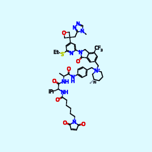 CCSc1cc(C2(Cc3nncn3C)COC2)cc(N2Cc3c(cc(C[N+]4(Cc5ccc(NC(=O)C(C)NC(=O)C(NC(=O)CCCCCN6C(=O)C=CC6=O)C(C)C)cc5)CCC[C@H](C)C4)cc3C(F)(F)F)C2=O)n1